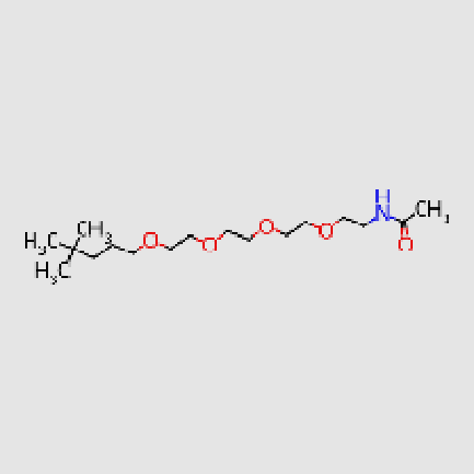 CC(=O)NCCOCCOCCOCCOCCCC(C)(C)C